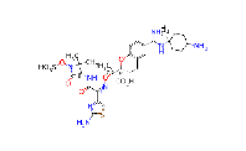 CC1(C)[C@H](NC(=O)/C(=N\O[C@](C)(C(=O)O)[C@H]2CCc3cc(C(=N)N[C@]4(C)CC[C@H](N)CC4)ccc3O2)c2csc(N)n2)C(=O)N1OS(=O)(=O)O